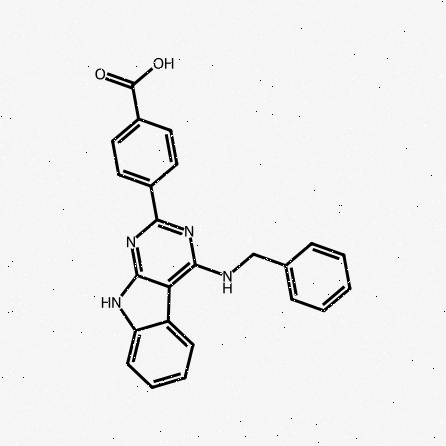 O=C(O)c1ccc(-c2nc(NCc3ccccc3)c3c(n2)[nH]c2ccccc23)cc1